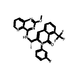 COc1nc(N[C@@H](C)c2cc3cccc(C(F)(F)F)c3c(=O)n2-c2cccc(F)c2)c2ncccc2n1